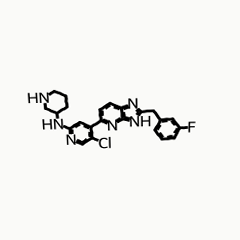 Fc1cccc(Cc2nc3ccc(-c4cc(NC5CCCNC5)ncc4Cl)nc3[nH]2)c1